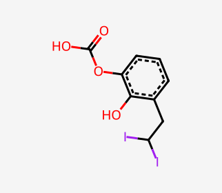 O=C(O)Oc1cccc(CC(I)I)c1O